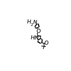 CC(C)(C)C(=O)c1ccc2[nH]c(COc3ccc(N)cc3)cc2c1